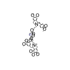 COc1ccc(CC2c3cc(OC)c(OC)cc3CC[N+]2(C)CCCOC(=O)/C=C\C(=O)OCCC[N+]2(C)CCc3cc(OC)c(OC)c(OC)c3C2Cc2cc(OC)c(OC)c(OC)c2)cc1OC